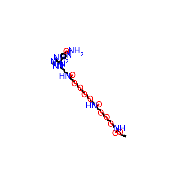 C#CCOC(=O)NCCOCCOCCOCCC(=O)NCCOCCOCCOCCOCCC(=O)NCCCCn1nc(-c2ccc3oc(N)nc3c2)c2c(N)ncnc21